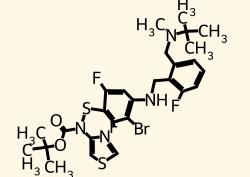 CN(Cc1cccc(F)c1CNc1cc(F)c(SN(C(=O)OC(C)(C)C)c2cscn2)c(F)c1Br)C(C)(C)C